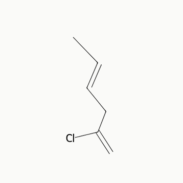 C=C(Cl)CC=CC